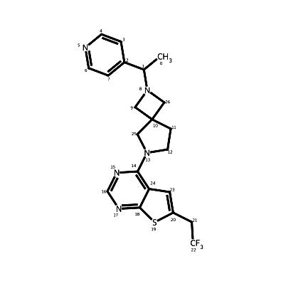 CC(c1ccncc1)N1CC2(CCN(c3ncnc4sc(CC(F)(F)F)cc34)C2)C1